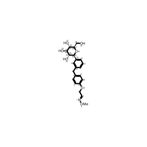 CON=CCOc1ccc(Cc2cccc([C@@H]3O[C@H](CO)[C@@H](O)[C@H](O)[C@H]3O)c2)cc1